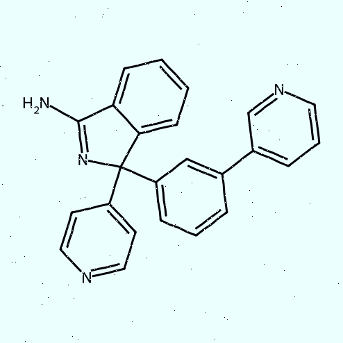 NC1=NC(c2ccncc2)(c2cccc(-c3cccnc3)c2)c2ccccc21